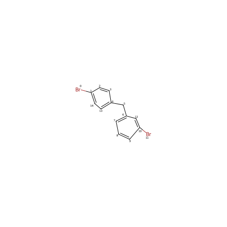 Brc1ccc(Cc2cccc(Br)c2)cc1